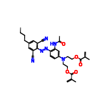 C=C(C)C(=O)OCCN(CCOC(=O)C(=C)C)c1ccc(/N=N/c2c(C#N)cc(CCCC)cc2C#N)c(NC(C)=O)c1